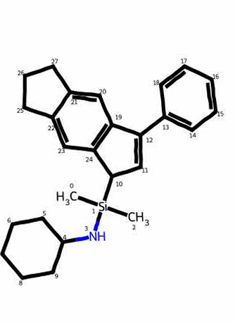 C[Si](C)(NC1CCCCC1)C1C=C(c2ccccc2)c2cc3c(cc21)CCC3